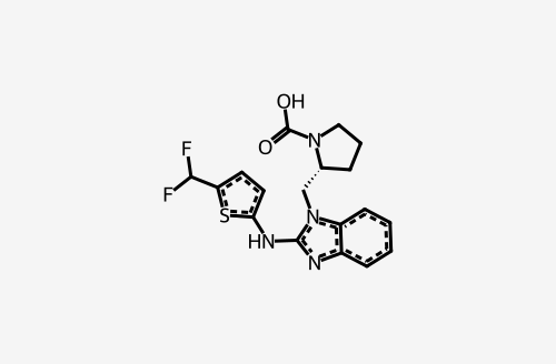 O=C(O)N1CCC[C@@H]1Cn1c(Nc2ccc(C(F)F)s2)nc2ccccc21